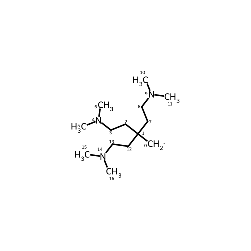 [CH2]C(CCN(C)C)(CCN(C)C)CCN(C)C